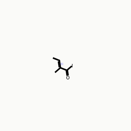 C/C=C(\C)C(=O)I